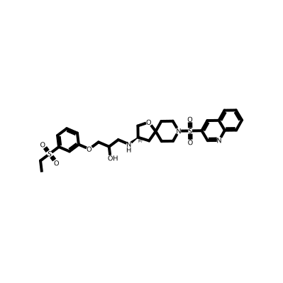 CCS(=O)(=O)c1cccc(OCC(O)CN[C@H]2COC3(CCN(S(=O)(=O)c4cnc5ccccc5c4)CC3)C2)c1